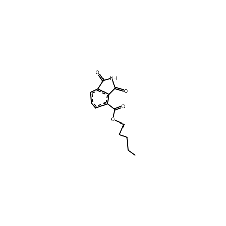 CCCCCOC(=O)c1cccc2c1C(=O)NC2=O